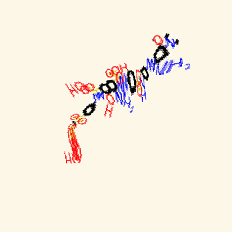 CCN(CC)c1cc(N)c(/N=N/c2ccc(NS(=O)(=O)c3ccc(/N=N/c4c(S(=O)(=O)O)cc5cc(SOOO)c(/N=N/c6ccc(S(=O)(=O)CCOSOOO)cc6)c(O)c5c4N)cc3)cc2)cc1OC